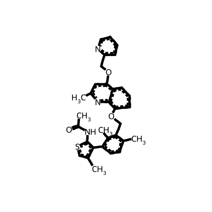 CC(=O)Nc1scc(C)c1-c1ccc(C)c(COc2cccc3c(OCc4ccccn4)cc(C)nc23)c1C